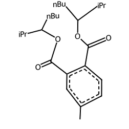 CCCCC(OC(=O)c1ccc(C)cc1C(=O)OC(CCCC)C(C)C)C(C)C